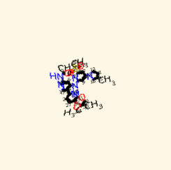 CC(=O)Nc1cc(Nc2cc(N3CC[C@H](C)C3)cc(S(C)(=O)=O)n2)c(-c2ccc3c(n2)OCC(C)(C)O3)cn1